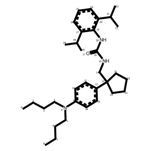 CCCCN(CCCC)c1ccc(C2(CNC(=O)Nc3c(C(C)C)cccc3C(C)C)CCCC2)cc1